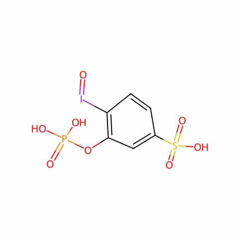 O=Ic1ccc(S(=O)(=O)O)cc1OP(=O)(O)O